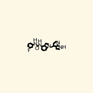 O=C(Nc1cccc(F)c1)Nc1cccc2c1ccn2Cc1ccnc2[nH]ccc12